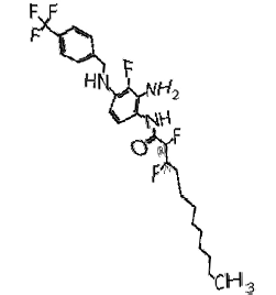 CCCCCCCCC[C@@H](F)[C@H](F)C(=O)Nc1ccc(NCc2ccc(C(F)(F)F)cc2)c(F)c1N